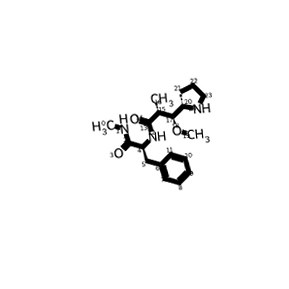 CNC(=O)[C@H](Cc1ccccc1)NC(=O)[C@H](C)[C@@H](OC)[C@@H]1CCCN1